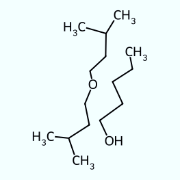 CC(C)CCOCCC(C)C.CCCCCO